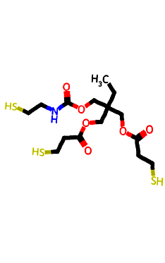 CCC(COC(=O)CCS)(COC(=O)CCS)COC(=O)NCCS